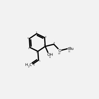 C=CC1C=CC=CC1(O)COC(C)(C)C